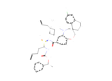 C=CCCC(NC(=O)O[C@@H](C)c1ccccc1)/[SH](=O)=N\C(=O)c1ccc2c(c1)N(C[C@@H]1CC[C@H]1[C@H](C=C)OC)C[C@@]1(CCCc3cc(Cl)ccc31)CO2